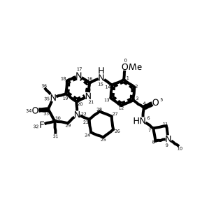 COc1cc(C(=O)NC2CN(C)C2)ccc1Nc1ncc2c(n1)N(C1CCCCC1)CC(C)(F)C(=O)N2C